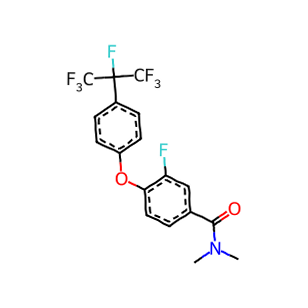 CN(C)C(=O)c1ccc(Oc2ccc(C(F)(C(F)(F)F)C(F)(F)F)cc2)c(F)c1